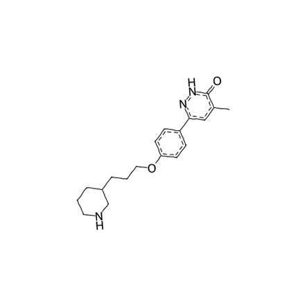 Cc1cc(-c2ccc(OCCCC3CCCNC3)cc2)n[nH]c1=O